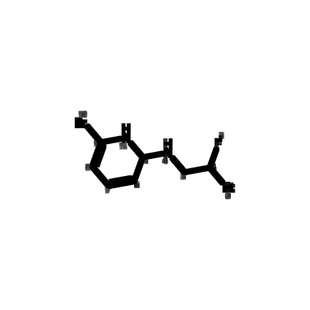 CCC(F)CNC1C=CC=C(Br)N1